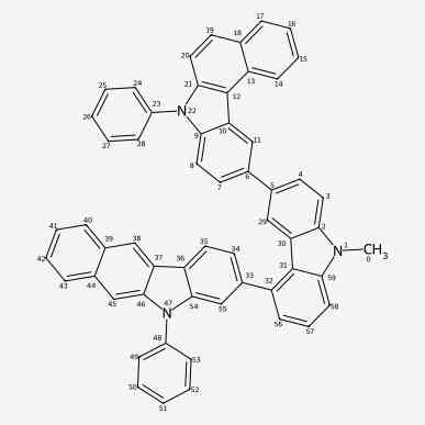 Cn1c2ccc(-c3ccc4c(c3)c3c5ccccc5ccc3n4-c3ccccc3)cc2c2c(-c3ccc4c5cc6ccccc6cc5n(-c5ccccc5)c4c3)cccc21